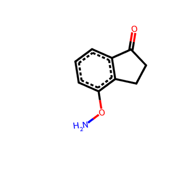 NOc1cccc2c1CCC2=O